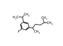 CC(C)CCC(C)c1cc(F)cc(C(C)C)c1